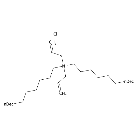 C=CC[N+](CC=C)(CCCCCCCCCCCCCCCC)CCCCCCCCCCCCCCCC.[Cl-]